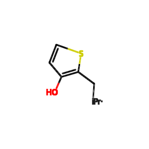 C[C](C)Cc1sccc1O